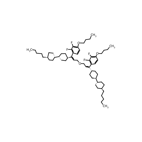 CCCCC[C@H]1CC[C@H]([C@H]2CC[C@H](C(=CCOCC=C(c3ccc(OCCCC)c(F)c3F)[C@H]3CC[C@H]([C@H]4CC[C@H](CCCCC)CC4)CC3)c3ccc(OCCCC)c(F)c3F)CC2)CC1